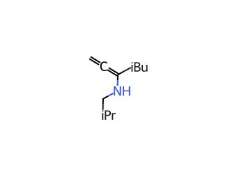 C=C=C(NCC(C)C)C(C)CC